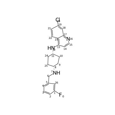 Fc1cccc(CN[C@H]2CC[C@@H](Nc3ccnc4cc(Cl)ccc34)CC2)c1